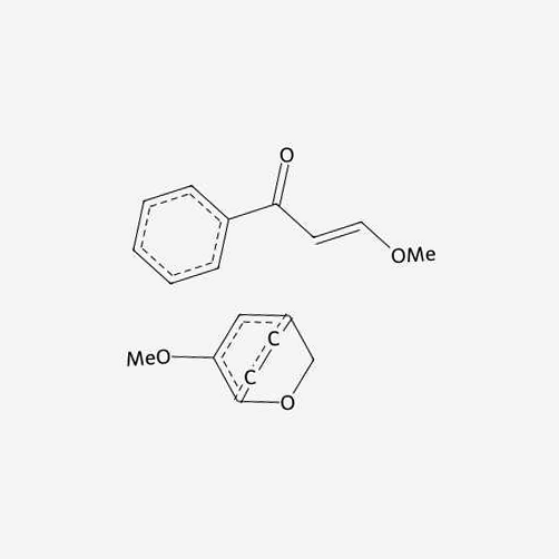 COC=CC(=O)c1ccccc1.COc1cc2ccc1OC2